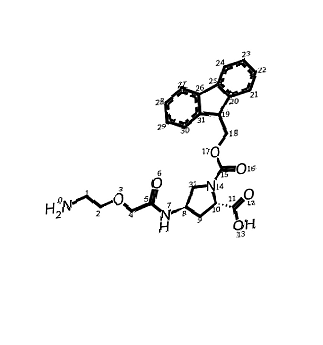 NCCOCC(=O)N[C@@H]1C[C@@H](C(=O)O)N(C(=O)OCC2c3ccccc3-c3ccccc32)C1